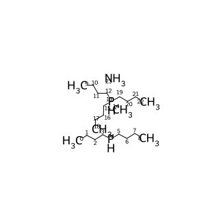 CCCCPCCCC.CCCC[PH](C)(CCCC)CCCC.N